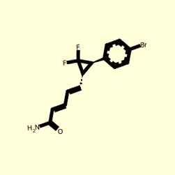 NC(=O)C=CC=C[C@H]1[C@H](c2ccc(Br)cc2)C1(F)F